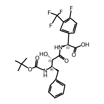 CC(C)(C)OC(=O)N[C@H](Cc1ccccc1)[C@H](O)C(=O)N[C@H](C(=O)O)c1ccc(F)c(C(F)(F)F)c1